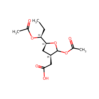 CC[C@H](OC(C)=O)[C@@H]1C[C@H](CC(=O)O)C(OC(C)=O)O1